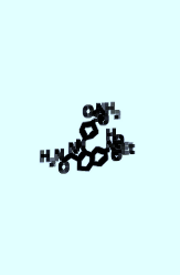 CCS(=O)(=O)Nc1ccc2c(c1)-c1c(c(C(N)=O)nn1-c1ccc(S(N)(=O)=O)cc1)CC2